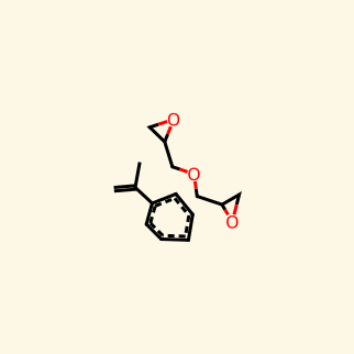 C(OCC1CO1)C1CO1.C=C(C)c1ccccc1